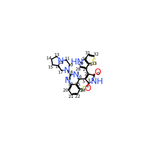 O=C1NC(=O)C(c2nc(N3CCN4CCCC4C3)nc3cccc(F)c23)=C1c1c[nH]c2ccsc12